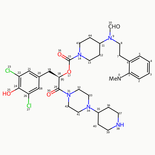 CNc1ccccc1CCN(C=O)C1CCN(C(=O)O[C@H](Cc2cc(Cl)c(O)c(Cl)c2)C(=O)N2CCN(C3CCNCC3)CC2)CC1